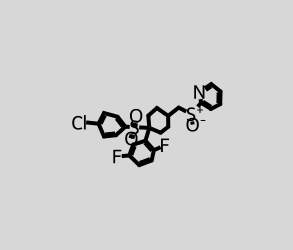 O=S(=O)(c1ccc(Cl)cc1)C1(c2cc(F)ccc2F)CCC(C[S+]([O-])c2ccccn2)CC1